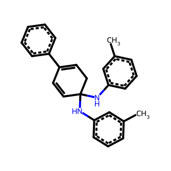 Cc1cccc(NC2(Nc3cccc(C)c3)C=CC(c3ccccc3)=CC2)c1